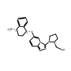 N[C@H]1CC[C@@H](Oc2ccc3nnc(N4CCC[C@H]4CO)n3c2)c2ccccc21